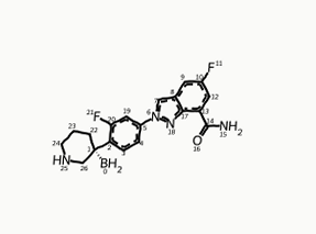 B[C@@]1(c2ccc(-n3cc4cc(F)cc(C(N)=O)c4n3)cc2F)CCCNC1